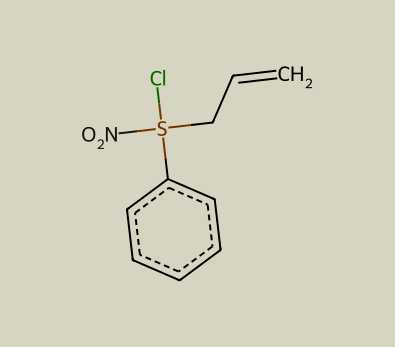 C=CCS(Cl)(c1ccccc1)[N+](=O)[O-]